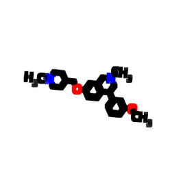 COc1cccc(C2CN(C)Cc3cc(OCC4CCN(C)CC4)ccc32)c1